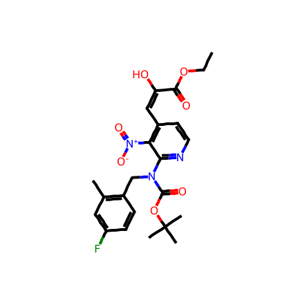 CCOC(=O)/C(O)=C\c1ccnc(N(Cc2ccc(F)cc2C)C(=O)OC(C)(C)C)c1[N+](=O)[O-]